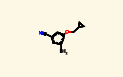 Bc1cc(C#N)cc(OCC2CC2)c1